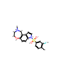 Cc1ccc(S(=O)(=O)n2ccc3c4c(ccc32)OCCN(C)C4)cc1F